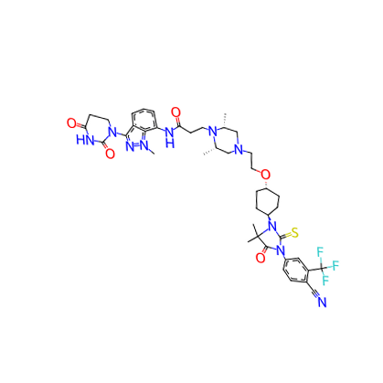 C[C@@H]1CN(CCO[C@H]2CC[C@H](N3C(=S)N(c4ccc(C#N)c(C(F)(F)F)c4)C(=O)C3(C)C)CC2)C[C@H](C)N1CCC(=O)Nc1cccc2c(N3CCC(=O)NC3=O)nn(C)c12